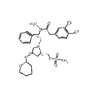 CN(C(=O)Cc1ccc(Cl)c(Cl)c1)[C@H](CN1C[C@H](OC2CCCCO2)C[C@H]1COS(C)(=O)=O)c1ccccc1